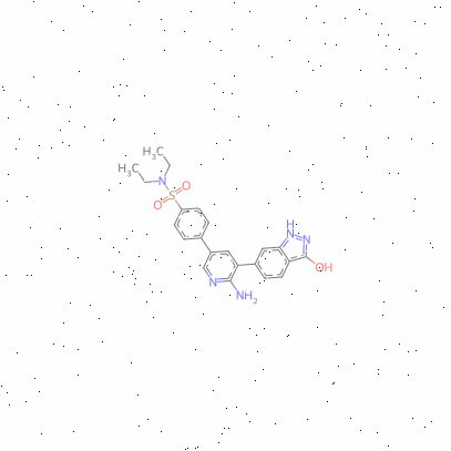 CCN(CC)S(=O)(=O)c1ccc(-c2cnc(N)c(-c3ccc4c(O)n[nH]c4c3)c2)cc1